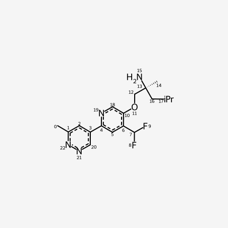 Cc1cc(-c2cc(C(F)F)c(OC[C@@](C)(N)CC(C)C)cn2)cnn1